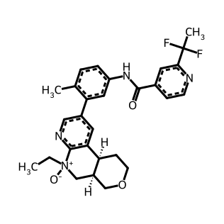 CC[N+]1([O-])C[C@@H]2COCC[C@@H]2c2cc(-c3cc(NC(=O)c4ccnc(C(C)(F)F)c4)ccc3C)cnc21